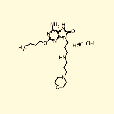 CCCCOc1nc(N)c2[nH]c(=O)n(CCCNCCCN3CCOCC3)c2n1.Cl.Cl.Cl